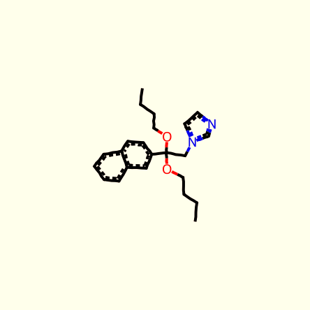 CCCCOC(Cn1ccnc1)(OCCCC)c1ccc2ccccc2c1